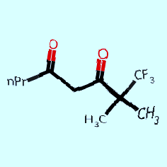 CCCC(=O)CC(=O)C(C)(C)C(F)(F)F